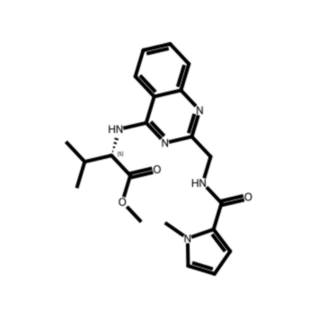 COC(=O)[C@@H](Nc1nc(CNC(=O)c2cccn2C)nc2ccccc12)C(C)C